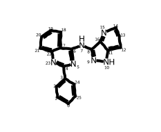 c1ccc(-c2nc(Nc3n[nH]c4cccnc34)c3ccccc3n2)cc1